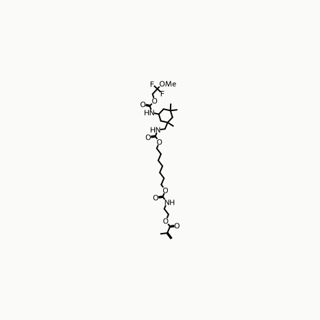 C=C(C)C(=O)OCCNC(=O)OCCCCCCCOC(=O)NCC1(C)CC(NC(=O)OCC(F)(F)OC)CC(C)(C)C1